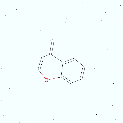 C=C1C=COc2ccccc21